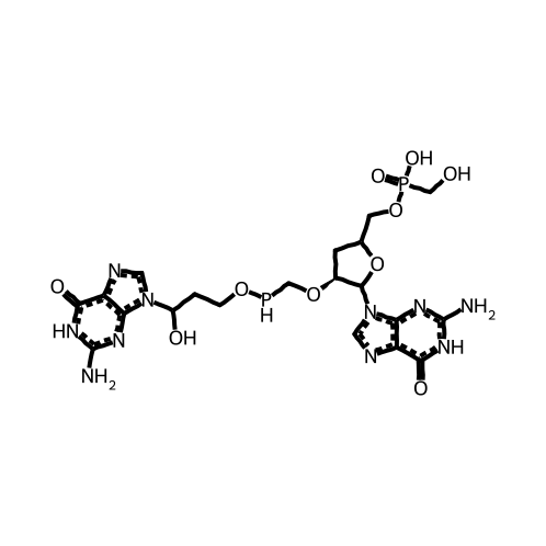 Nc1nc2c(ncn2C(O)CCOPCO[C@H]2CC(COP(=O)(O)CO)OC2n2cnc3c(=O)[nH]c(N)nc32)c(=O)[nH]1